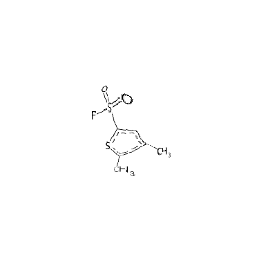 Cc1cc(S(=O)(=O)F)sc1C